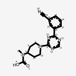 CN(C(=O)O)C1CCN(c2ncnc(-c3cccc(C#N)c3)n2)CC1